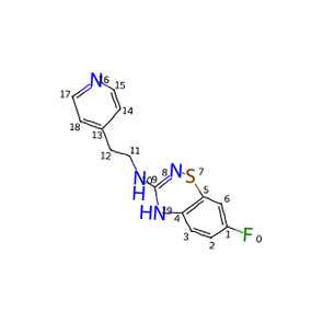 Fc1ccc2c(c1)SN=C(NCCc1ccncc1)N2